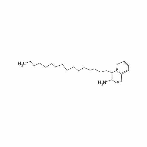 CCCCCCCCCCCCCCCCc1c(N)ccc2ccccc12